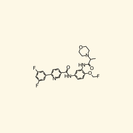 CC(C(=O)Nc1cc(NC(=O)c2ccc(-c3cc(F)cc(F)c3)nc2)ccc1OCF)N1CCOCC1